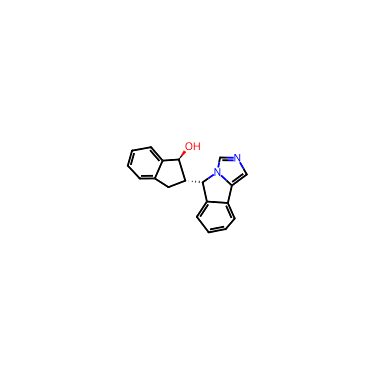 O[C@@H]1c2ccccc2C[C@H]1C1c2ccccc2-c2cncn21